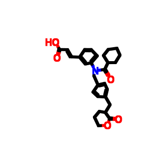 O=C(O)C=Cc1cccc(N(Cc2ccc(CC3CCCOC3=O)cc2)C(=O)C2CCCCC2)c1